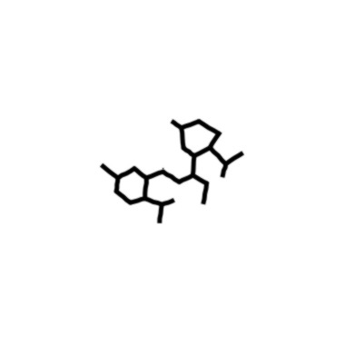 CCC(C[CH]C1CC(C)CCC1C(C)C)C1CC(C)CCC1C(C)C